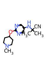 CN1CCC(Oc2ncc(NC(C)(C)C#N)cn2)CC1